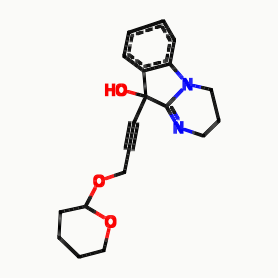 OC1(C#CCOC2CCCCO2)C2=NCCCN2c2ccccc21